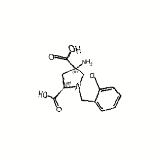 N[C@]1(C(=O)O)C[C@H](C(=O)O)N(Cc2ccccc2Cl)C1